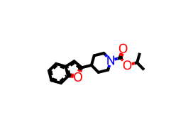 CC(C)OC(=O)N1CCC(c2cc3ccccc3o2)CC1